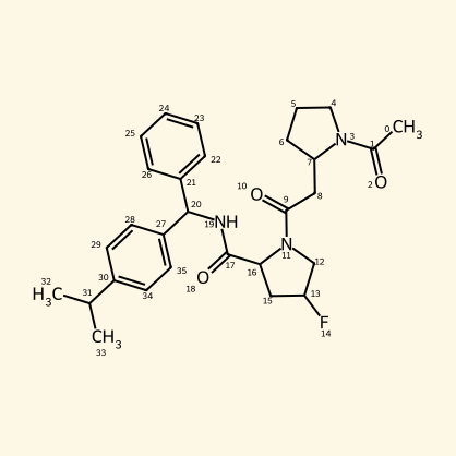 CC(=O)N1CCCC1CC(=O)N1CC(F)CC1C(=O)NC(c1ccccc1)c1ccc(C(C)C)cc1